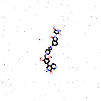 COc1cc(-c2cn(C)c(=O)c3cnccc23)cc(OC)c1CN1CCC2(CC1)CN(c1ccc3c(c1)C(=O)N([C@@H]1CC(=O)NC1=O)C3)C2